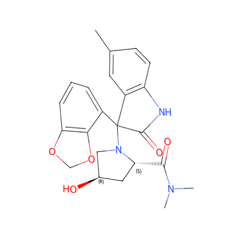 Cc1ccc2c(c1)C(c1cccc3c1OCO3)(N1C[C@H](O)C[C@H]1C(=O)N(C)C)C(=O)N2